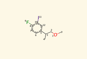 COCC(C)c1ccc(F)c(I)c1